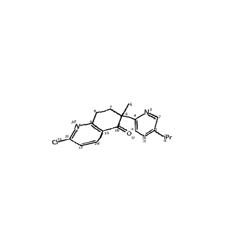 CC(C)c1cnc(C2(C)CCc3nc(Cl)ccc3C2=O)cn1